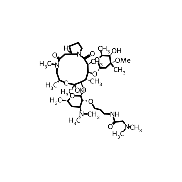 CO[C@]1(C)C[C@H](O[C@H]2[C@H](C)[C@@H](O[C@@H]3O[C@H](C)C[C@H](N(C)C)[C@H]3OCCCNC(=O)CN(C)C)[C@](C)(O)C[C@@H](C)CN(C)C(=O)C[C@@H]3CCCN3C(=O)[C@@H]2C)O[C@@H](C)[C@@H]1O